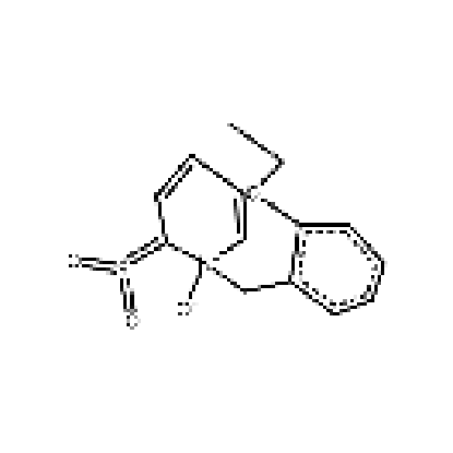 CCOc1ccccc1C[N+]1([O-])C=CC=CC1=S(=O)=O